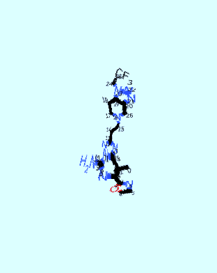 Cc1c(-c2ncco2)nc(N)n2nc(CCN3CCc4c(nnn4CC(F)(F)F)C3)nc12